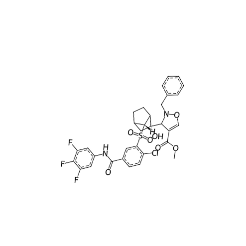 COC(=O)C1=CON(Cc2ccccc2)C1[C@@]1(O)CC2CCC1[C@@H]2S(=O)(=O)c1cc(C(=O)Nc2cc(F)c(F)c(F)c2)ccc1Cl